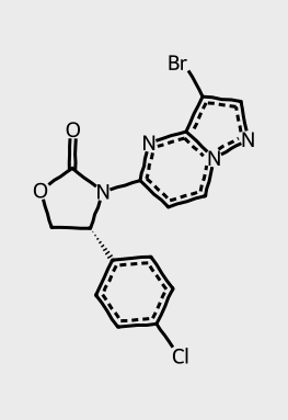 O=C1OC[C@@H](c2ccc(Cl)cc2)N1c1ccn2ncc(Br)c2n1